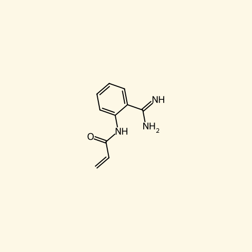 C=CC(=O)Nc1ccccc1C(=N)N